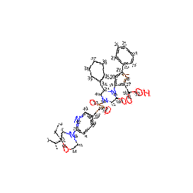 CCC1(CC)CN(c2ccc(S(=O)(=O)N3CC(=O)N(c4cc(-c5ccccc5)sc4C(=O)O)C(C4CCCCC4)C3)cn2)CCO1